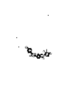 CN1N=C(c2ccc3c(c2)CN(C2CCC(=O)NC2=O)C3=O)NC1c1ccc(Cl)cc1